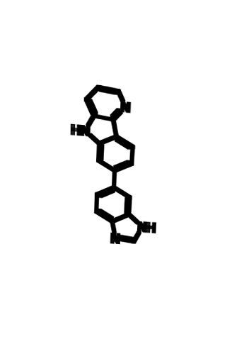 c1cnc2c(c1)[nH]c1cc(-c3ccc4nc[nH]c4c3)ccc12